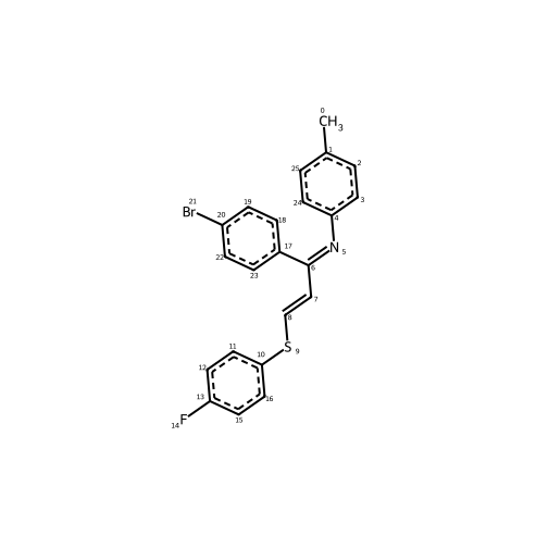 Cc1ccc(N=C(C=CSc2ccc(F)cc2)c2ccc(Br)cc2)cc1